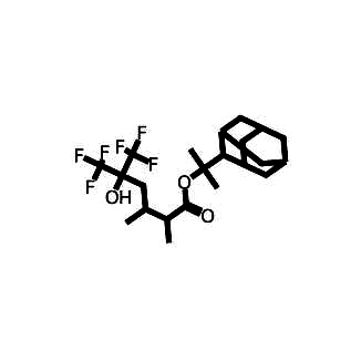 CC(CC(O)(C(F)(F)F)C(F)(F)F)C(C)C(=O)OC(C)(C)C1C2CC3CC(C2)CC1C3